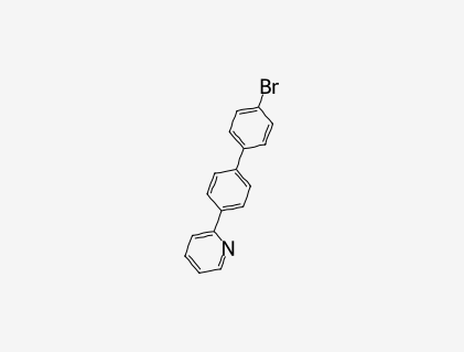 Brc1ccc(-c2ccc(-c3ccccn3)cc2)cc1